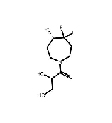 CC[C@H]1CCN(C(=O)[C@H](O)CO)CCC1(F)F